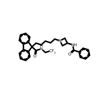 O=C(NC1CN(CCCCCC2(C(=O)NCC(F)(F)F)c3ccccc3-c3ccccc32)C1)c1ccccc1